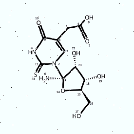 N[C@@]1(n2cc(CC(=O)O)c(=O)[nH]c2=S)O[C@H](CO)[C@@H](O)[C@H]1O